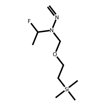 C=NN(COCC[Si](C)(C)C)C(C)F